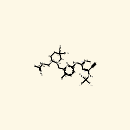 C#C/C(=C\C(=N/C)Nc1ccc(C)c(CN2CC(F)(F)CC[C@@H]2CNC(C)=O)n1)OC(F)(F)F